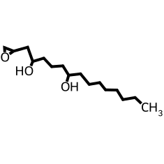 CCCCCCCCC(O)CCCC(O)CC1CO1